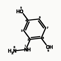 NNc1cc(O)ccc1O